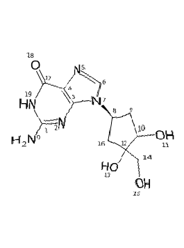 Nc1nc2c(ncn2[C@H]2CC(O)C(O)(CO)C2)c(=O)[nH]1